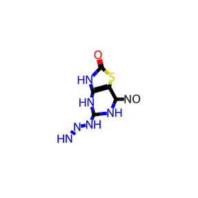 N=NNC1Nc2[nH]c(=O)sc2C(N=O)N1